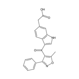 Cc1onc(-c2ccccc2)c1C(=O)c1c[nH]c2cc(CC(=O)O)ccc12